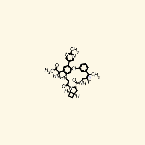 CC(=O)C(=N)c1cc(-c2cnc(C)nc2)ccc1NCC(=O)N1[C@@H]2CC[C@@H]2C[C@H]1C(=O)NC/C(F)=C(/C)c1cccc(Cl)c1